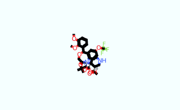 COc1cccc(C2OCC(=O)[N@@+](CC(C)(C)C)([C@@]3(C(=O)O)CCNC[C@@H]3C(C)=O)c3ccc(OC(F)(F)F)cc32)c1OC